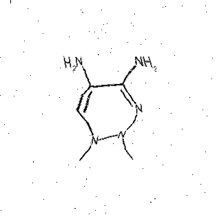 CN1C=C(N)C(N)=NN1C